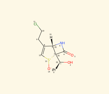 CC(C)[C@H](O)[C@]12C(=O)N[C@H]1C(CCCl)=C[S+]2[O-]